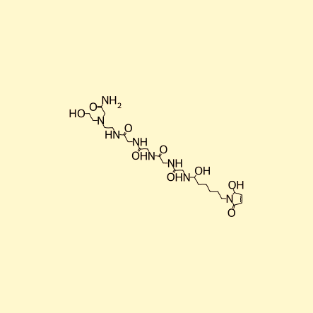 NC(=O)CN(CCO)CCNC(=O)CNC(=O)CNC(=O)CNC(=O)CNC(O)CCCCCN1C(=O)C=CC1O